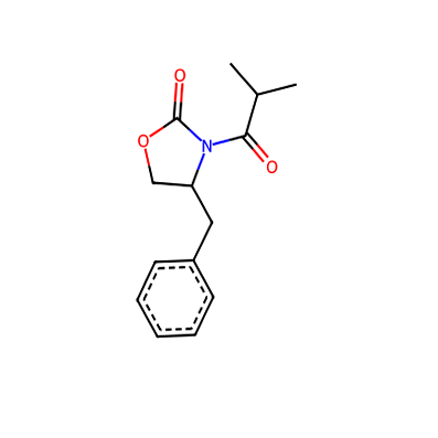 CC(C)C(=O)N1C(=O)OCC1Cc1ccccc1